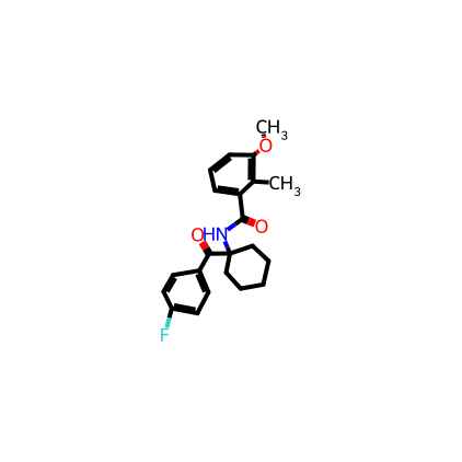 COc1cccc(C(=O)NC2(C(=O)c3ccc(F)cc3)CCCCC2)c1C